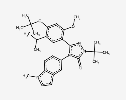 COc1cc(OC(C)(C)C)c(C(C)C)cc1-c1nn(C(C)(C)C)c(=O)n1-c1ccc2c(ccn2C)c1